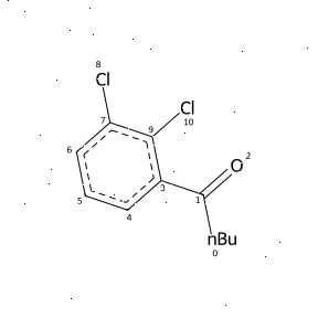 CCCCC(=O)c1cccc(Cl)c1Cl